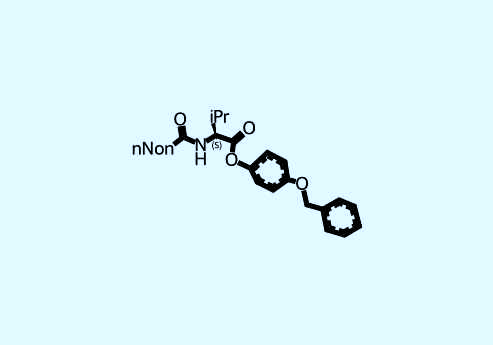 CCCCCCCCCC(=O)N[C@H](C(=O)Oc1ccc(OCc2ccccc2)cc1)C(C)C